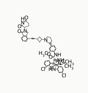 COc1cc([C@@H]2CCCN(C3CC(C#Cc4cccc5c4CN(C4CCC(=O)NC4=O)C5=O)C3)C2)ccc1NC(=O)[C@@H]1N[C@@H](CC(C)(C)C)[C@@]2(CNc3cc(Cl)ccc32)[C@H]1c1cccc(Cl)c1F